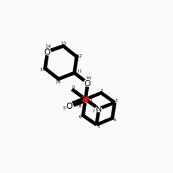 CN1CC2CC(C1)N2C(=O)OC1CCOCC1